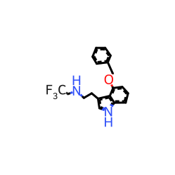 FC(F)(F)CNCCc1c[nH]c2cccc(OCc3ccccc3)c12